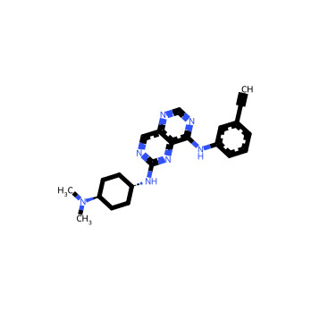 C#Cc1cccc(Nc2ncnc3cnc(N[C@H]4CC[C@H](N(C)C)CC4)nc23)c1